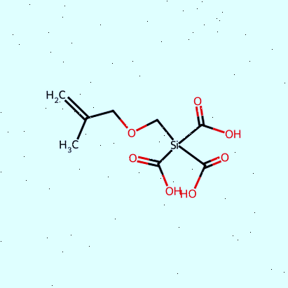 C=C(C)COC[Si](C(=O)O)(C(=O)O)C(=O)O